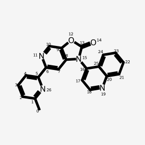 Cc1cccc(-c2cc3c(cn2)oc(=O)n3-c2ccnc3ccccc23)n1